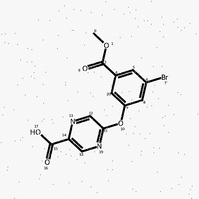 COC(=O)c1cc(Br)cc(Oc2cnc(C(=O)O)cn2)c1